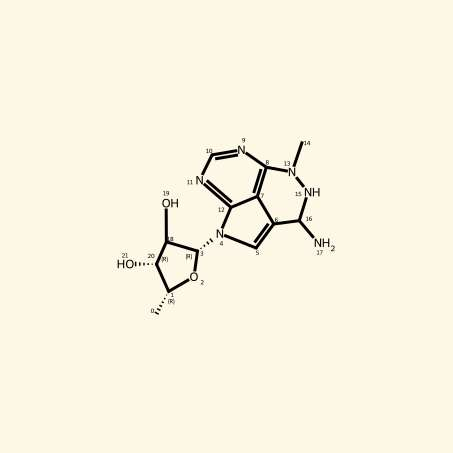 C[C@H]1O[C@@H](n2cc3c4c(ncnc42)N(C)NC3N)C(O)[C@H]1O